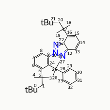 CC(C)(C)CC(C)(C)c1cccc(-n2nc3cccc(C(C)(C)CC(C)(C)C)c3n2)c1C(C)(C)c1ccccc1